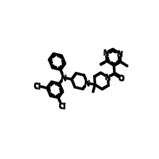 Cc1ncnc(C)c1C(=O)N1CCC(C)(N2CCC(N(c3ccccc3)c3cc(Cl)cc(Cl)c3)CC2)CC1